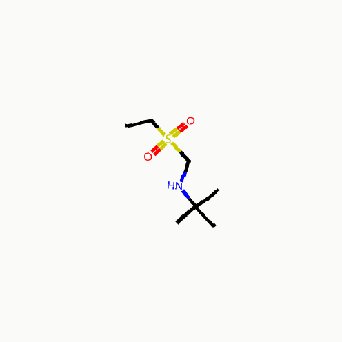 CCS(=O)(=O)CNC(C)(C)C